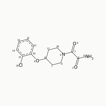 NC(=O)C(=O)N1CCC(Oc2ccccc2Cl)CC1